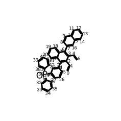 C=Cc1c(C=C)c(-c2ccc3ccccc3c2)c2ccccc2c1-c1cccc(P(=O)(c2ccccc2)c2ccccc2)c1